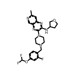 Cc1cc2nc(NC3CCOC3)c(N3CCN(Cc4ccc(OC(F)F)cc4F)CC3)nc2cn1